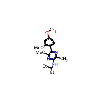 CCC(CC)Nc1nc(OC)c(-c2ccc(OC(F)(F)F)cc2OC)nc1C